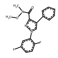 CON(C)C(=O)c1nn(-c2cc(F)ccc2F)cc1-c1ccccc1